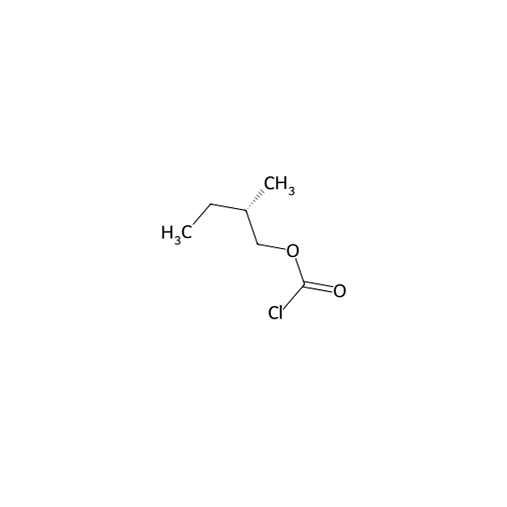 CC[C@H](C)COC(=O)Cl